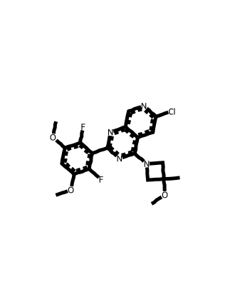 COc1cc(OC)c(F)c(-c2nc(N3CC(C)(OC)C3)c3cc(Cl)ncc3n2)c1F